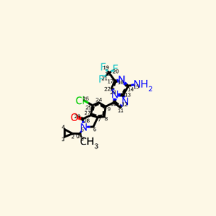 C[C@@H](C1CC1)N1Cc2cc(-c3cnc4c(N)nc(C(F)(F)F)cn34)cc(Cl)c2C1=O